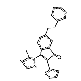 Cc1scnc1C1=C(c2cccs2)C(=O)c2cc(CCc3ccccc3)ccc21